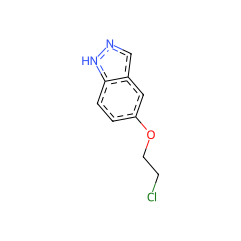 ClCCOc1ccc2[nH]ncc2c1